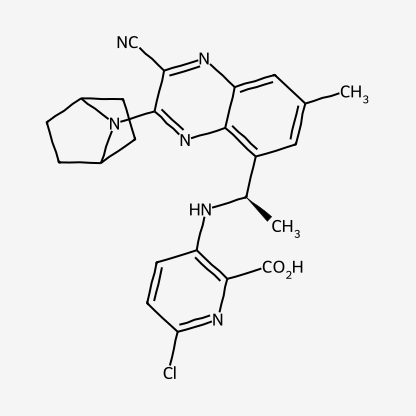 Cc1cc([C@@H](C)Nc2ccc(Cl)nc2C(=O)O)c2nc(N3C4CCC3CC4)c(C#N)nc2c1